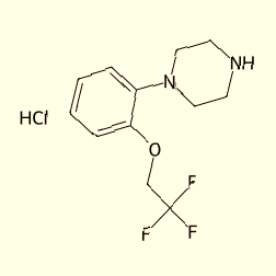 Cl.FC(F)(F)COc1ccccc1N1CCNCC1